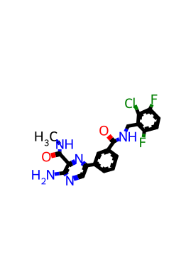 CNC(=O)c1nc(-c2cccc(C(=O)NCc3c(F)ccc(F)c3Cl)c2)cnc1N